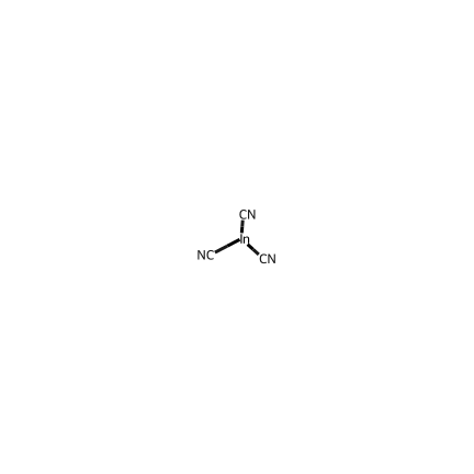 N#[C][In]([C]#N)[C]#N